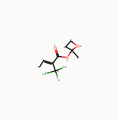 CC=C(C(=O)OC1(C)CCO1)C(F)(F)F